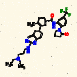 CCN(CC)CCCNc1ncc2cc(-c3cc(C(=O)Nc4cc(C(F)(F)F)ccc4N4CCCC4=O)ccc3C)ccc2n1